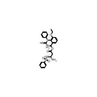 CCOc1cccc(C(=O)OC(=O)C[C@@H](N)NS(=O)(=O)c2ccccc2)c1N(C(=N)N)c1ccccc1